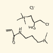 C=CC(=O)NCCCN(C)C.C[N+](C)(C)CC(O)CCl.[Cl-]